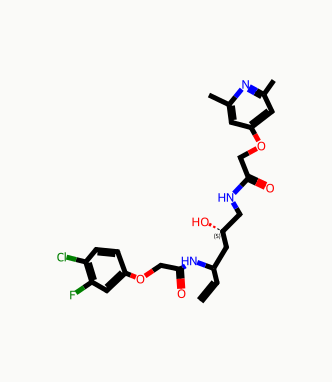 C=CC(C[C@H](O)CNC(=O)COc1cc(C)nc(C)c1)NC(=O)COc1ccc(Cl)c(F)c1